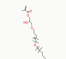 C=C(C)C(=O)OCC(O)COCCC[Si](C)(C)C(C)(C)O[Si](C)(C)C(C)(C)CCCC